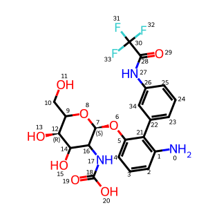 Nc1cccc(O[C@@H]2OC(CO)[C@H](O)C(O)C2NC(=O)O)c1-c1cccc(NC(=O)C(F)(F)F)c1